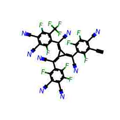 C#Cc1c(F)c(/C(C#N)=C2/C(=C(C#N)c3c(F)c(F)c(C#N)c(C#N)c3F)/C2=C(/C#N)c2c(F)c(C#N)c(C#N)c(F)c2C(F)(F)F)c(F)c(F)c1C#N